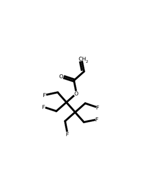 C=CC(=O)OC(CF)(CF)C(CF)(CF)CF